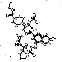 CCOC(=O)N1CCN(C(=O)C(CC(=O)O)NC(=O)c2cc(OCC(=O)N3CCCC3C(=O)NC3CC3)c3ccc(C)cc3n2)CC1